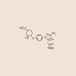 COC(=O)C[C@H]1[C@H](C)C(C(F)(F)F)=NN1c1ccc(OC2CCN(C(=O)O)CC23CC3)cc1